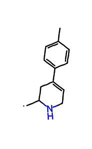 [CH2]C1CC(c2ccc(C)cc2)=CCN1